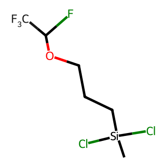 C[Si](Cl)(Cl)CCCOC(F)C(F)(F)F